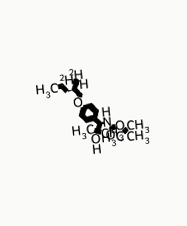 [2H]C([2H])([2H])[C@@H](CCC)COc1ccc([C@@H](NC(=O)OC(C)(C)C)C(C)(C)O)cc1